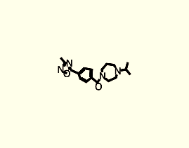 Cc1noc(-c2ccc(C(=O)N3CCCN(C(C)C)CC3)cc2)n1